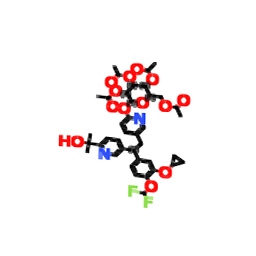 CC(=O)OC[C@H]1O[C@@H](Oc2ccc(C[C@H](c3ccc(C(C)(C)O)nc3)c3ccc(OC(F)F)c(OC4CC4)c3)cn2)[C@H](OC(C)=O)[C@@H](OC(C)=O)[C@@H]1OC(C)=O